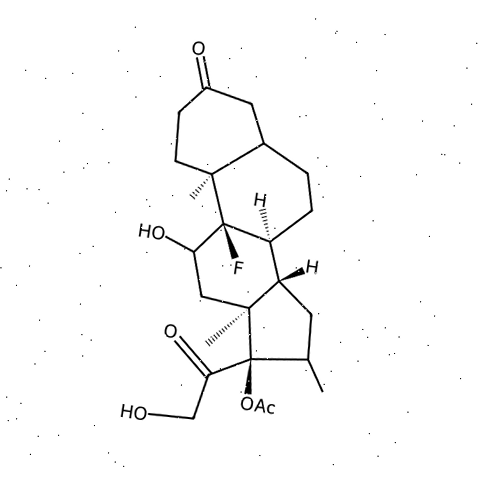 CC(=O)O[C@]1(C(=O)CO)C(C)C[C@H]2[C@@H]3CCC4CC(=O)CC[C@]4(C)[C@@]3(F)C(O)C[C@@]21C